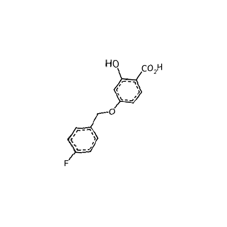 O=C(O)c1ccc(OCc2ccc(F)cc2)cc1O